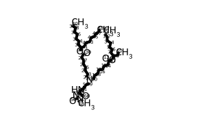 CCCCCCCCC(CC)OC(=O)CCCCCCCN(CCCCCCCC(=O)OC(CCCCCCCC)CCCCCCCC)CCCNC1=NC(=O)N(C)C1=O